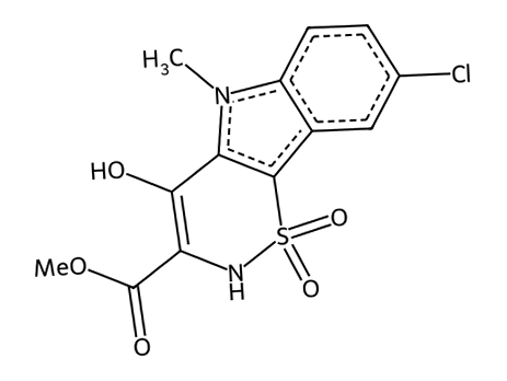 COC(=O)C1=C(O)c2c(c3cc(Cl)ccc3n2C)S(=O)(=O)N1